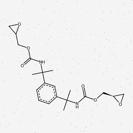 CC(C)(NC(=O)OCC1CO1)c1cccc(C(C)(C)NC(=O)OC[C@H]2CO2)c1